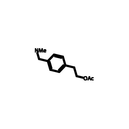 CNCc1ccc(CCOC(C)=O)cc1